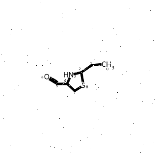 CCC1NC(C=O)CS1